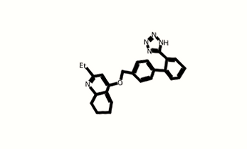 CCC1=NC2CCCC=C2C(OCc2ccc(-c3ccccc3-c3nnn[nH]3)cc2)=C1